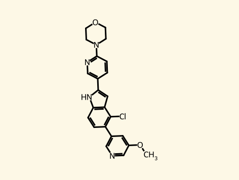 COc1cncc(-c2ccc3[nH]c(-c4ccc(N5CCOCC5)nc4)cc3c2Cl)c1